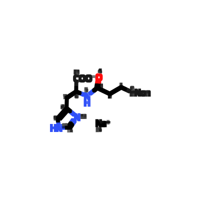 CCCCCCCCCCCC(=O)NC(Cc1c[nH]cn1)C(=O)[O-].[Na+]